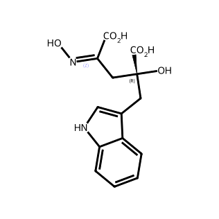 O=C(O)/C(C[C@](O)(Cc1c[nH]c2ccccc12)C(=O)O)=N\O